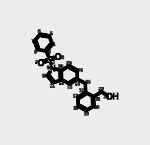 O=S(=O)(c1ccccc1)n1ccc2cc(Cc3ccccc3CO)ccc21